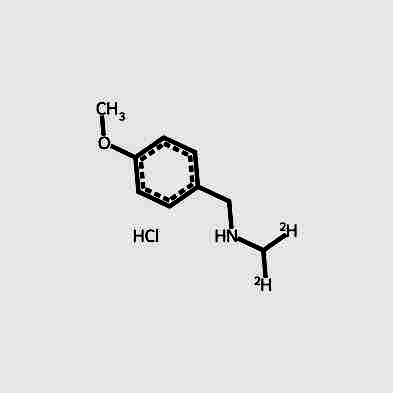 Cl.[2H]C([2H])NCc1ccc(OC)cc1